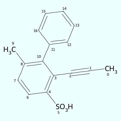 CC#Cc1c(S(=O)(=O)O)ccc(C)c1-c1ccccc1